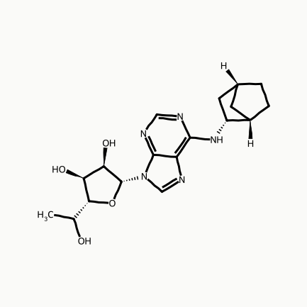 CC(O)[C@H]1O[C@@H](n2cnc3c(N[C@@H]4C[C@@H]5CC[C@H]4C5)ncnc32)[C@H](O)[C@@H]1O